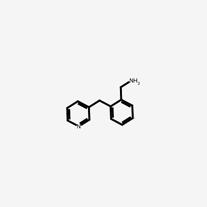 NCc1c[c]ccc1Cc1cccnc1